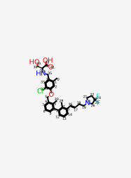 Cc1cc(OCc2cccc(-c3cccc(/C=C/CCN4CCC(F)(F)C4)c3C)c2C)c(Cl)cc1CN[C@@H](CO)C(=O)O